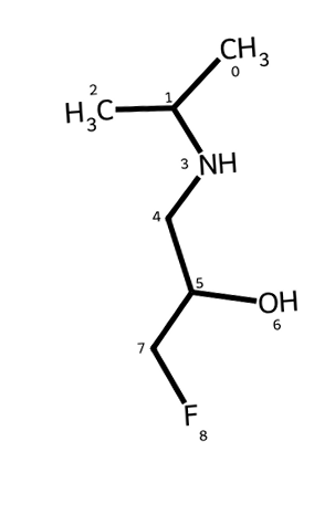 CC(C)NCC(O)CF